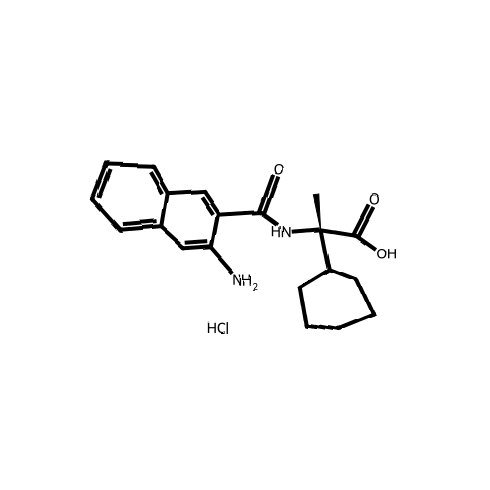 C[C@@](NC(=O)c1cc2ccccc2cc1N)(C(=O)O)C1CCCCC1.Cl